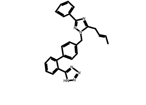 CC=CCc1nc(-c2ccccc2)nn1Cc1ccc(-c2ccccc2-c2nnn[nH]2)cc1